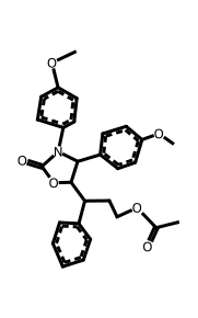 COc1ccc(C2C(C(CCOC(C)=O)c3ccccc3)OC(=O)N2c2ccc(OC)cc2)cc1